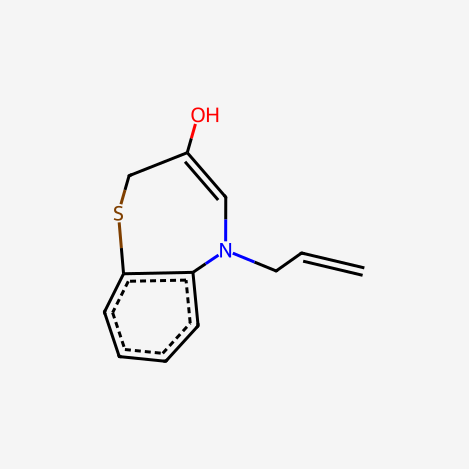 C=CCN1C=C(O)CSc2ccccc21